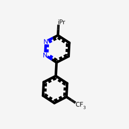 CC(C)c1ccc(-c2cccc(C(F)(F)F)c2)nn1